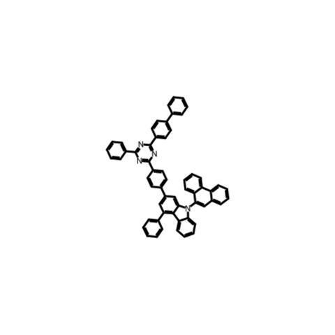 c1ccc(-c2ccc(-c3nc(-c4ccccc4)nc(-c4ccc(-c5cc(-c6ccccc6)c6c7ccccc7n(-c7cc8ccccc8c8ccccc78)c6c5)cc4)n3)cc2)cc1